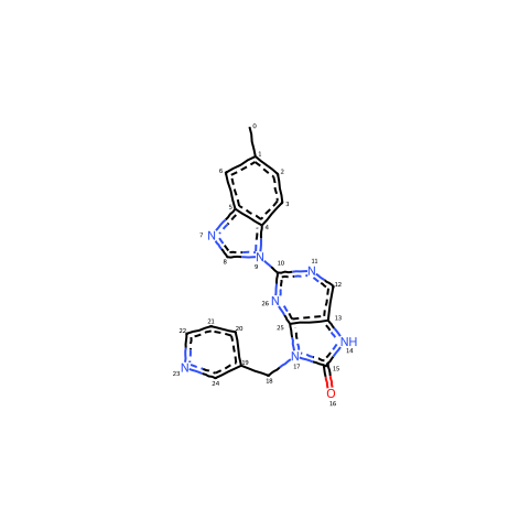 Cc1ccc2c(c1)ncn2-c1ncc2[nH]c(=O)n(Cc3cccnc3)c2n1